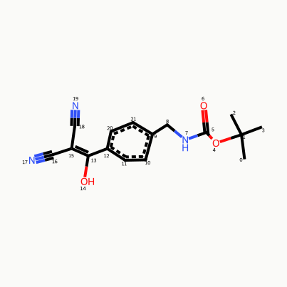 CC(C)(C)OC(=O)NCc1ccc(C(O)=C(C#N)C#N)cc1